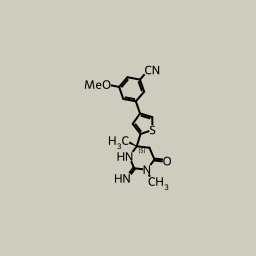 COc1cc(C#N)cc(-c2csc([C@]3(C)CC(=O)N(C)C(=N)N3)c2)c1